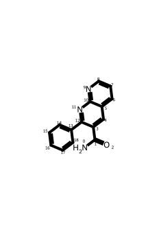 NC(=O)c1cc2cccnc2nc1-c1ccccc1